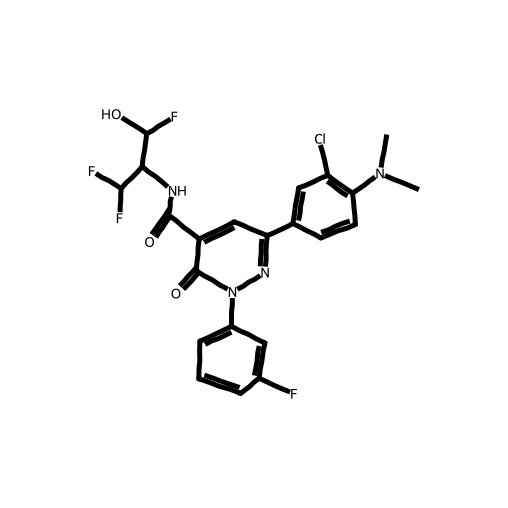 CN(C)c1ccc(-c2cc(C(=O)NC(C(O)F)C(F)F)c(=O)n(-c3cccc(F)c3)n2)cc1Cl